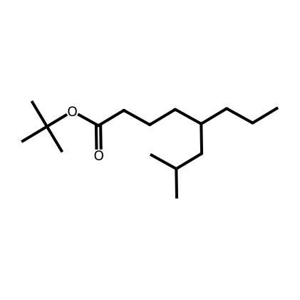 CCCC(CCCC(=O)OC(C)(C)C)CC(C)C